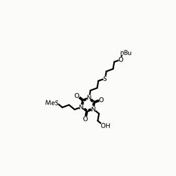 CCCCOCCCSCCCn1c(=O)n(CCO)c(=O)n(CCCSC)c1=O